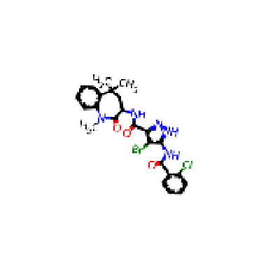 CN1C(=O)C(NC(=O)c2n[nH]c(NC(=O)c3ccccc3Cl)c2Br)CC(C)(C)c2ccccc21